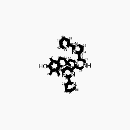 Cc1c(C)c2c(c(C)c1O)CCC(C)(CN1C(c3ccnc(-c4ccccn4)n3)CNCC1c1ccnc(-c3ccccn3)n1)O2